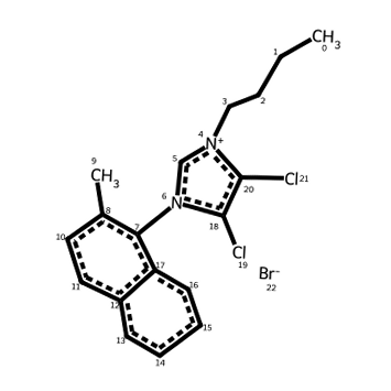 CCCC[n+]1cn(-c2c(C)ccc3ccccc23)c(Cl)c1Cl.[Br-]